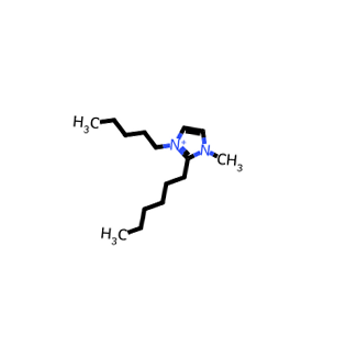 CCCCCCc1n(C)cc[n+]1CCCCC